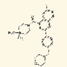 C[Si]1(C)CCN(C(=O)c2cc(-c3ccc(CN4CCOCC4)cc3)nc3ccc(F)cc23)CC1